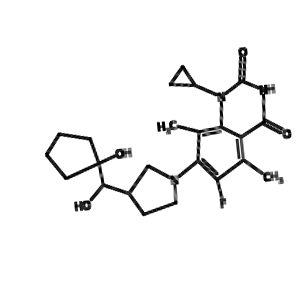 Cc1c(F)c(N2CCC(C(O)C3(O)CCCC3)C2)c(C)c2c1c(=O)[nH]c(=O)n2C1CC1